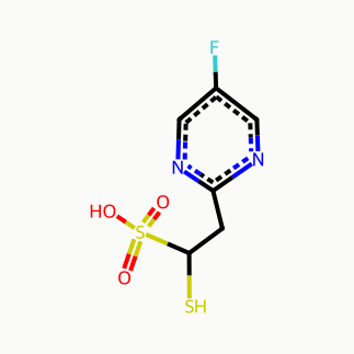 O=S(=O)(O)C(S)Cc1ncc(F)cn1